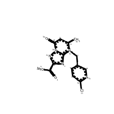 COC(=O)c1nc2n(Cc3ccc(Cl)nc3)c(C)cc(=O)n2n1